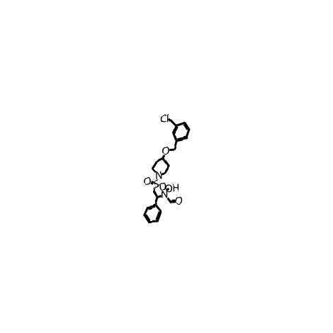 O=CN(O)C(CS(=O)(=O)N1CCC(OCc2cccc(Cl)c2)CC1)c1ccccc1